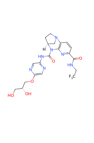 O=C(NCC(F)(F)F)c1ccc2c(n1)N(C(=O)Nc1cnc(OC[C@H](O)CO)cn1)[C@H]1CCN2C1